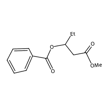 CCC(CC(=O)OC)OC(=O)c1ccccc1